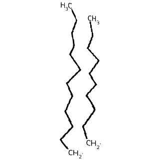 [CH2]CCCCCCCCC.[CH2]CCCCCCCCCCC